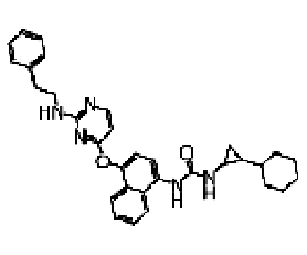 O=C(Nc1ccc(Oc2ccnc(NCCc3ccccc3)n2)c2ccccc12)NC1CC1C1CCCCC1